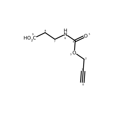 C#CCOC(=O)NCCC(=O)O